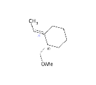 C/C=C1\CCCC[C@@H]1COC